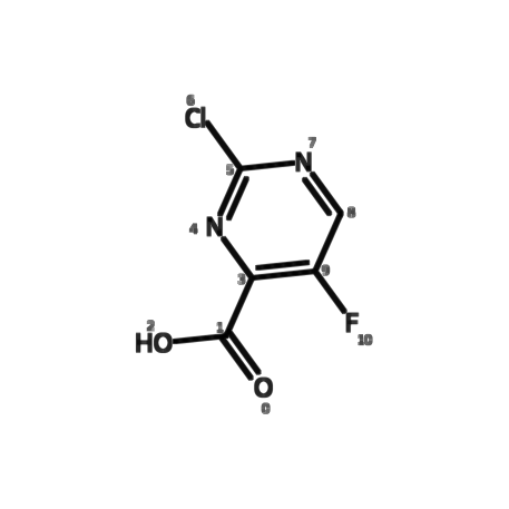 O=C(O)c1nc(Cl)ncc1F